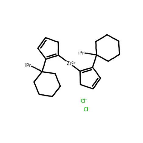 CC(C)C1(C2=[C]([Zr+2][C]3=C(C4(C(C)C)CCCCC4)C=CC3)CC=C2)CCCCC1.[Cl-].[Cl-]